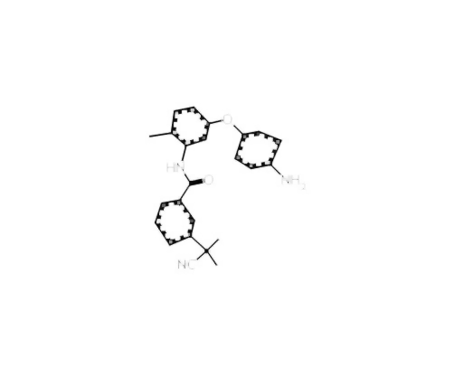 Cc1ccc(Oc2ccc(N)cc2)cc1NC(=O)c1cccc(C(C)(C)C#N)c1